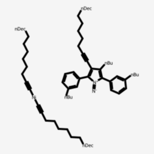 CCCCCCCCCCCCCCCC#CC1=C(c2cccc(CCCC)c2)[N+](=[N-])C(c2cccc(CCCC)c2)=C1CCCC.CCCCCCCCCCCCCCCCC#[C][Ni][C]#CCCCCCCCCCCCCCCCC